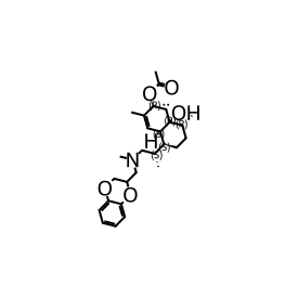 CC(=O)O[C@@H]1[C][C@@]2(O)[C@H](C)CC[C@@H]([C@H](C)CN(C)CC3COc4ccccc4O3)[C@H]2C=C1C